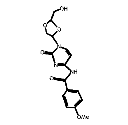 COc1ccc(C(=O)Nc2ccn(C3COC(CO)O3)c(=O)n2)cc1